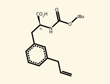 C=CCc1cccc(C[C@H](NC(=O)OC(C)(C)C)C(=O)O)c1